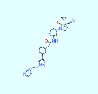 N#C[C@@]1(C2CC2)CCN(c2ccnc(NC(=O)Cc3cccc(-c4cnn(CCn5ccnc5)c4)c3)c2)C1=O